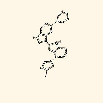 Cc1cn(-c2cccc3[nH]c(-c4n[nH]c5ccc(-c6cncnc6)cc45)cc23)cn1